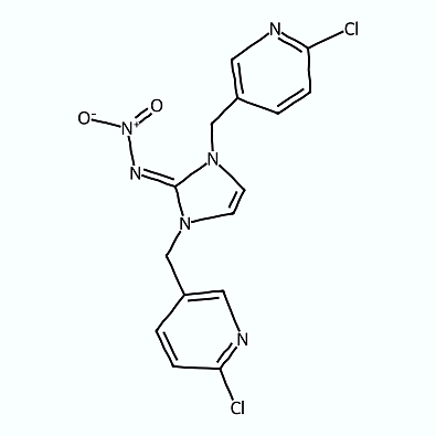 O=[N+]([O-])N=c1n(Cc2ccc(Cl)nc2)ccn1Cc1ccc(Cl)nc1